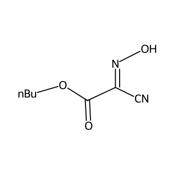 CCCCOC(=O)C(C#N)=NO